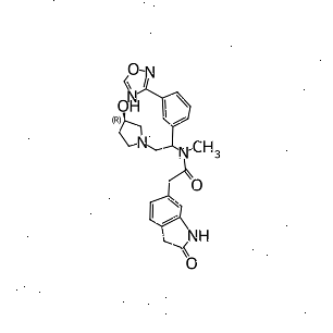 CN(C(=O)Cc1ccc2c(c1)NC(=O)C2)C(CN1CC[C@@H](O)C1)c1cccc(-c2ncon2)c1